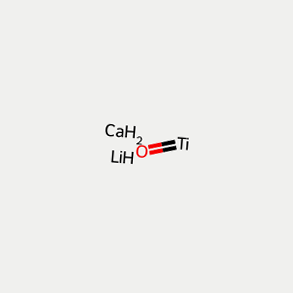 [CaH2].[LiH].[O]=[Ti]